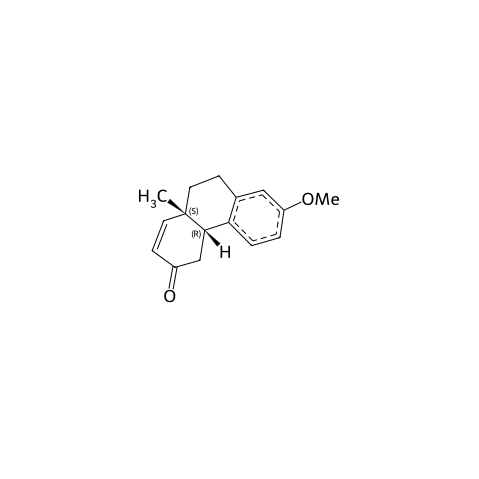 COc1ccc2c(c1)CC[C@@]1(C)C=CC(=O)C[C@@H]21